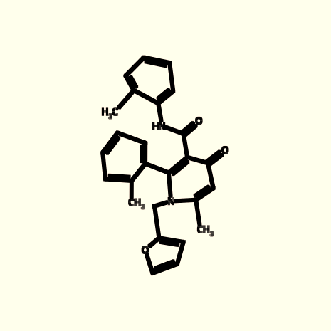 Cc1ccccc1NC(=O)c1c(-c2ccccc2C)n(Cc2ccco2)c(C)cc1=O